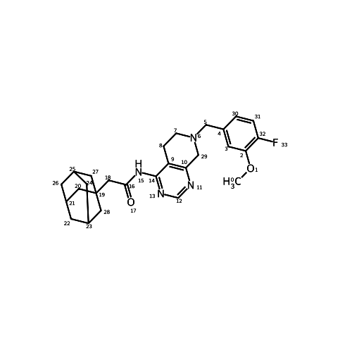 COc1cc(CN2CCc3c(ncnc3NC(=O)CC34CC5CC(CC(C5)C3)C4)C2)ccc1F